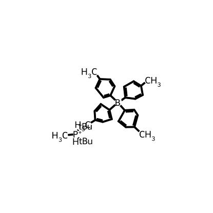 C[PH+](C(C)(C)C)C(C)(C)C.Cc1ccc([B-](c2ccc(C)cc2)(c2ccc(C)cc2)c2ccc(C)cc2)cc1